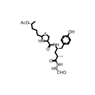 CC(=O)O[C@H](C)CCCC1NC(C(=O)N[C@@H](Cc2ccc(O)cc2)C[C@H](C)C(=O)NNC=O)CS1